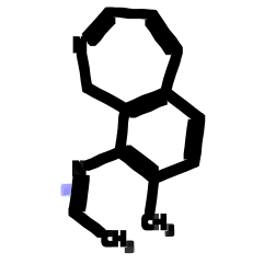 C/C=N\c1c(C)ccc2c1CN=CC=C2